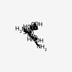 NCCCC[C@H](NC(=O)CO/N=C(\C(=O)NC1Cc2cccc(C(=O)O)c2OB1O)c1csc(N)n1)C(=O)O